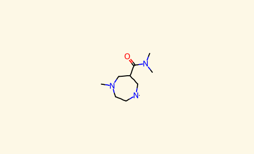 CN1CC[N]CC(C(=O)N(C)C)C1